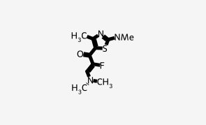 CNc1nc(C)c(C(=O)C(F)=CN(C)C)s1